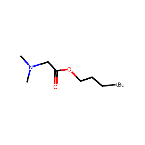 CN(C)CC(=O)OCCCC(C)(C)C